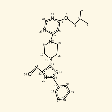 CC(C)COc1cc(N2CCN(c3sc(-c4ccccc4)nc3C=O)CC2)ncn1